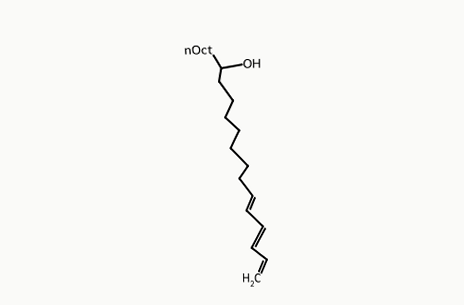 C=CC=CC=CCCCCCCCC(O)CCCCCCCC